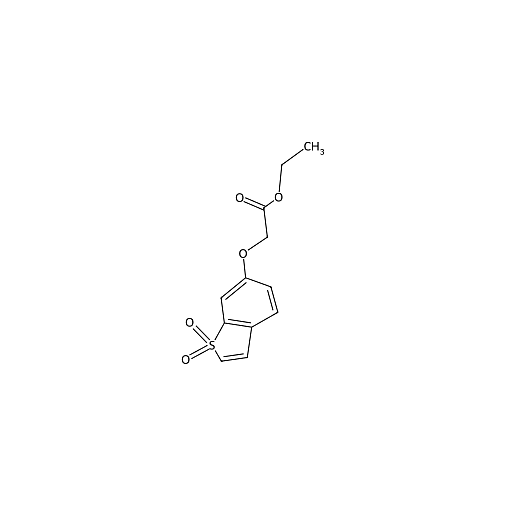 CCOC(=O)COc1ccc2c(c1)S(=O)(=O)C=C2